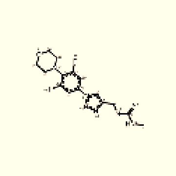 CNC(=S)NCc1cn(-c2cc(F)c(N3CCOCC3)c(F)c2)nn1